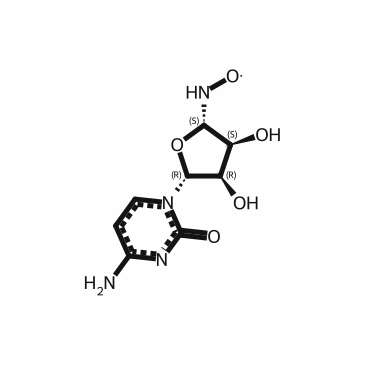 Nc1ccn([C@@H]2O[C@H](N[O])[C@@H](O)[C@H]2O)c(=O)n1